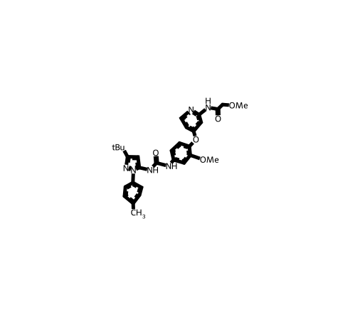 COCC(=O)Nc1cc(Oc2ccc(NC(=O)Nc3cc(C(C)(C)C)nn3-c3ccc(C)cc3)cc2OC)ccn1